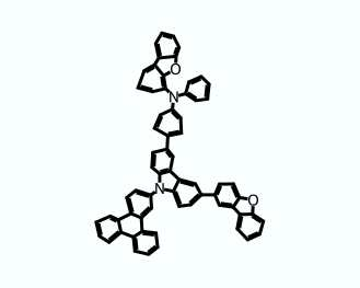 c1ccc(N(c2ccc(-c3ccc4c(c3)c3cc(-c5ccc6oc7ccccc7c6c5)ccc3n4-c3ccc4c5ccccc5c5ccccc5c4c3)cc2)c2cccc3c2oc2ccccc23)cc1